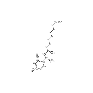 CCCCCCCCCCCCCCCCCC(=O)OC(C)c1ccc(Br)cc1Br